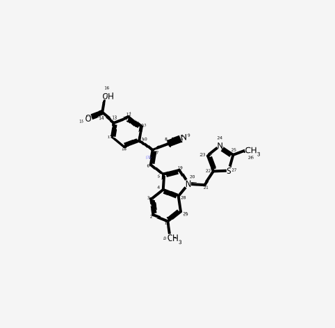 Cc1ccc2c(/C=C(\C#N)c3ccc(C(=O)O)cc3)cn(Cc3cnc(C)s3)c2c1